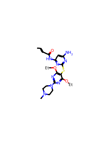 CC=CC(=O)Nc1cc(N)nc(Sc2c(OCC)nc(N3CCN(C)CC3)nc2OCC)n1